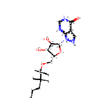 CCCC(C)(C)[Si](C)(C)OC[C@H]1O[C@@H](n2ncc3c(=O)[nH]cnc32)[C@H](O)[C@@H]1O